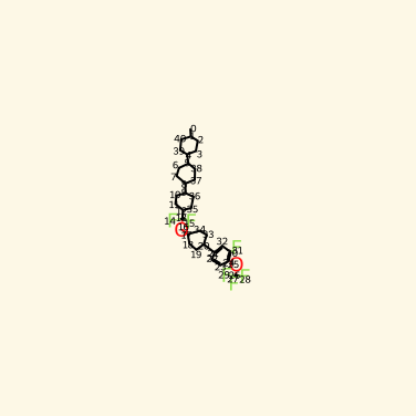 CC1CCC(C2CCC(C3CCC(C(F)(F)OC4CCC(c5ccc(OC(F)(F)F)c(F)c5)CC4)CC3)CC2)CC1